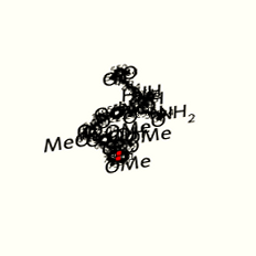 COC(=O)[C@H]1[C@@H](O)[C@@]2(O)c3c(OC)cc(O[C@@H]4O[C@@H]([C@H]5COC(c6ccc(NC(=O)[C@H](CCCNC(N)=O)NC(=O)C7(C(=O)NCCCCCN8C(=O)C=CC8=O)CCC7)cc6)O5)CO[C@H]4OC)cc3O[C@@]2(c2ccc(OC)cc2)[C@@H]1c1ccccc1